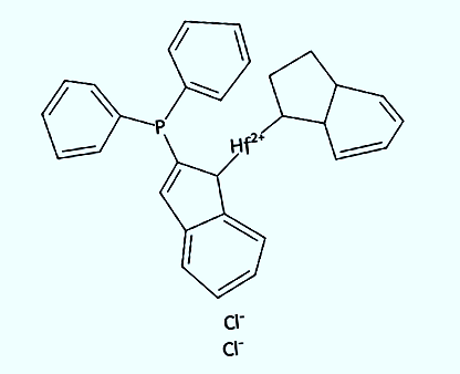 C1=CC2CC[CH]([Hf+2][CH]3C(P(c4ccccc4)c4ccccc4)=Cc4ccccc43)C2C=C1.[Cl-].[Cl-]